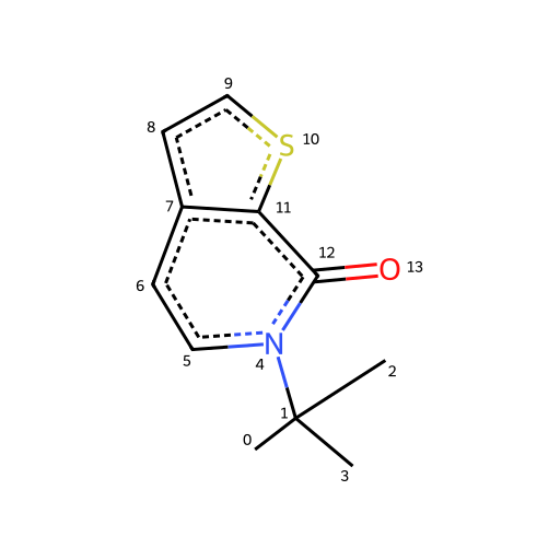 CC(C)(C)n1ccc2ccsc2c1=O